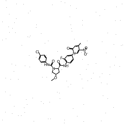 CO[C@@H]1C[C@H](C(=O)Nc2ccc(-n3cc([N+](=O)[O-])c(C)cc3=O)cc2F)N(C(=O)Nc2ccc(Cl)cc2)C1